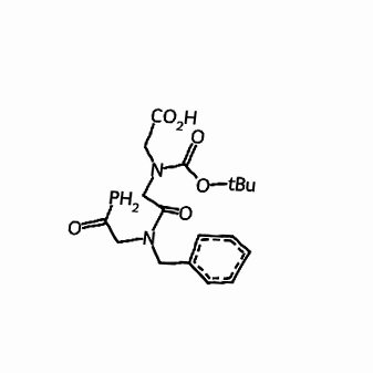 CC(C)(C)OC(=O)N(CC(=O)O)CC(=O)N(CC(=O)P)Cc1ccccc1